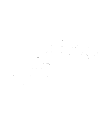 COC(=O)C1CC(=O)N(c2ccc(CN3CCN(C(=O)OC(C)(C)C)CC3)cc2)C1